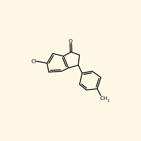 Cc1ccc(C2CC(=O)c3cc(Cl)ccc32)cc1